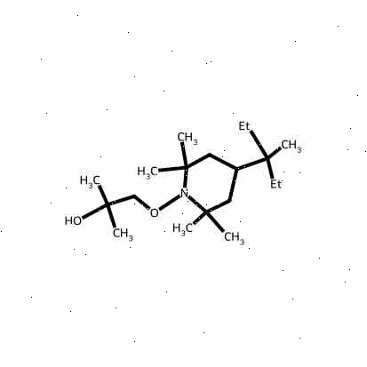 CCC(C)(CC)C1CC(C)(C)N(OCC(C)(C)O)C(C)(C)C1